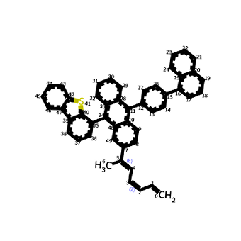 C=C/C=C\C=C(/C)c1ccc2c(-c3ccc(-c4cccc5ccccc45)cc3)c3ccccc3c(-c3cccc4c3sc3ccccc34)c2c1